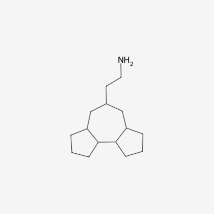 NCCC1CC2CCCC2C2CCCC2C1